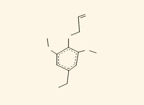 C=CCOc1c(OC)cc(CO)cc1OC